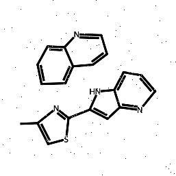 Cc1csc(-c2cc3ncccc3[nH]2)n1.c1ccc2ncccc2c1